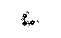 CCCc1ccc(C(=O)OC2C3CCC(CC3)C2OC(=O)c2ccc(CCC)cc2)cc1